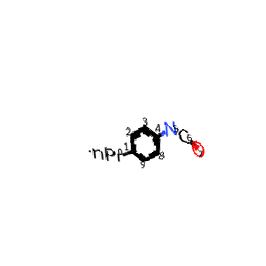 CC[CH]c1ccc(N=C=O)cc1